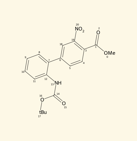 COC(=O)c1ccc(-c2ccccc2NC(=O)OC(C)(C)C)cc1[N+](=O)[O-]